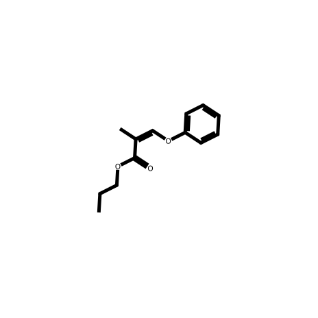 CCCOC(=O)C(C)=COc1ccccc1